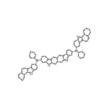 c1ccc(N(c2ccc3c(c2)oc2cc4cc5sc6cc(N(c7ccccc7)c7ccc8oc9c%10ccccc%10ccc9c8c7)ccc6c5cc4cc23)c2ccc3oc4c5ccccc5ccc4c3c2)cc1